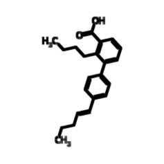 CCCC=Cc1ccc(-c2cccc(C(=O)O)c2CCCC)cc1